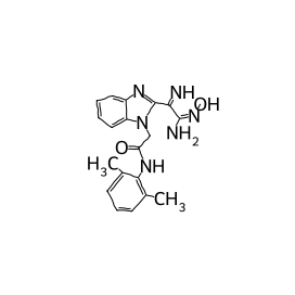 Cc1cccc(C)c1NC(=O)Cn1c(C(=N)/C(N)=N\O)nc2ccccc21